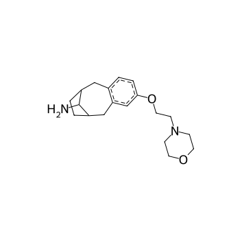 NC1C2CCC1Cc1cc(OCCN3CCOCC3)ccc1C2